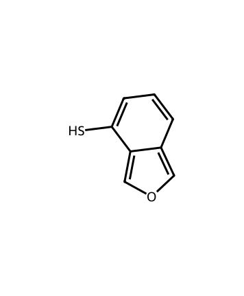 Sc1cccc2cocc12